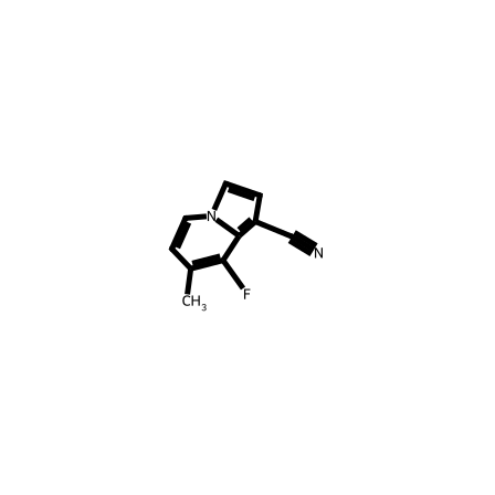 Cc1ccn2ccc(C#N)c2c1F